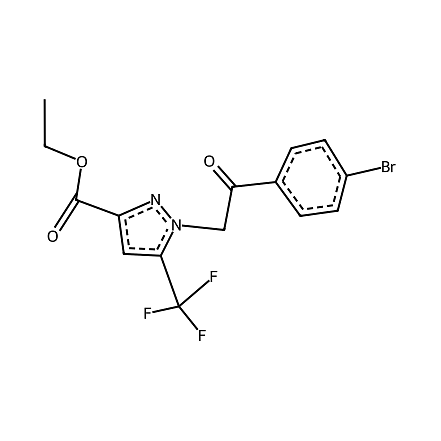 CCOC(=O)c1cc(C(F)(F)F)n(CC(=O)c2ccc(Br)cc2)n1